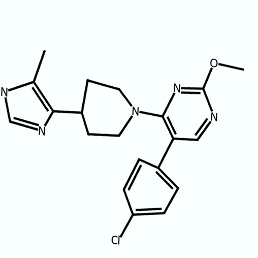 COc1ncc(-c2ccc(Cl)cc2)c(N2CCC(c3nc[nH]c3C)CC2)n1